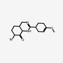 COC1=CCC(C2=NCC3CCC(Br)C(=O)C3N2)CC1